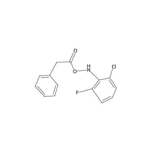 O=C(Cc1ccccc1)ONc1c(F)cccc1Cl